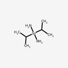 C[CH](C)[Sn]([NH2])([NH2])[CH](C)C